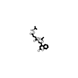 CC(=O)OC(CNC(=O)CCC(=O)OPC(C)C)c1cc(=O)oc2ccccc12